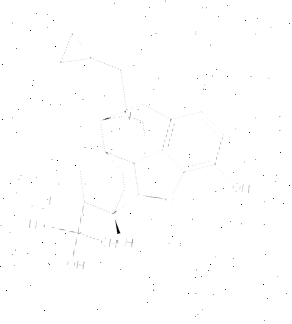 CC(C)(O)[C@H]1C[C@@]23CC[C@]1(C)C1Oc4c(O)ccc5c4[C@@]12CCN(CC1CC1)C3C5